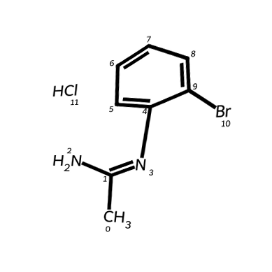 CC(N)=Nc1ccccc1Br.Cl